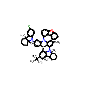 Cc1cc2c3c(c1)N1c4c(cc(C(C)(C)C)cc4C4(C)CCCCC14C)B3c1ccc(N3c4ccc(F)cc4C4(C)CCCCC34C)cc1N2c1cccc2oc3ccccc3c12